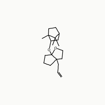 C=CCC12CCCC1(OC1CC3CCC1(C)C3(C)C)OCC2